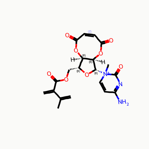 C=C(C)C(=C)C(=O)OC[C@H]1O[C@@H]([N+]2(C)C=CC(N)=NC2=O)[C@@H]2OC(=O)/C=C\C(=O)O[C@@H]21